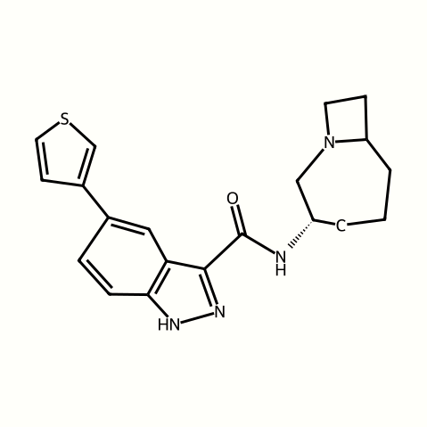 O=C(N[C@H]1CCCC2CCN2C1)c1n[nH]c2ccc(-c3ccsc3)cc12